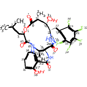 CC(C)CC1OC(=O)[C@H](C)[C@H](O)[C@H](Cc2c(F)c(F)c(F)c(F)c2F)NC(=O)[C@@H](NC(=O)c2ccccc2O)[C@@H](C)NC1=O